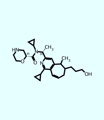 CC1c2cc([C@@H](C)N(C(=O)[C@H]3CNCCO3)C3CC3)nc(C3CC3)c2C=CCC1CCCO